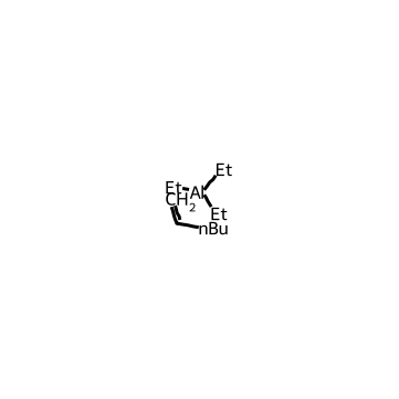 C=CCCCC.C[CH2][Al]([CH2]C)[CH2]C